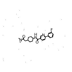 CN(C)C(=O)CC1CCC(NC(=O)c2ccc(-c3cccc(F)c3)nc2)CC1